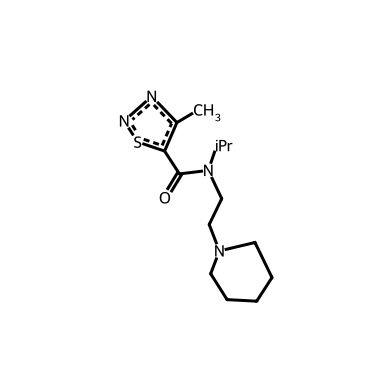 Cc1nnsc1C(=O)N(CCN1CCCCC1)C(C)C